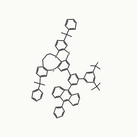 CC(C)(C)c1cc(-c2cc(-c3cc4c5c(c3)Sc3cc(C(C)(C)c6ccccc6)ccc3B5CCCc3ccc(C(C)(C)c5ccccc5)cc3S4)cc(-c3c4ccccc4c(-c4ccccc4)c4ccccc34)c2)cc(C(C)(C)C)c1